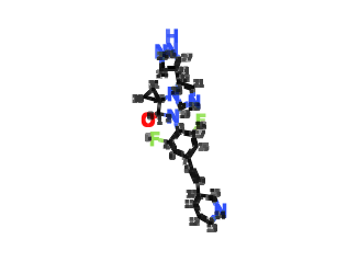 O=C1N(c2c(F)cc(C#Cc3cccnc3)cc2F)c2ncc(-c3cn[nH]c3)n2C12CC2